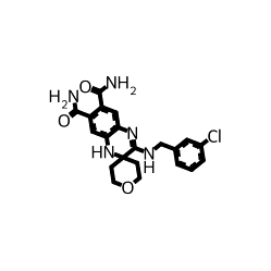 NC(=O)c1cc2c(cc1C(N)=O)NC1(CCOCC1)C(NCc1cccc(Cl)c1)=N2